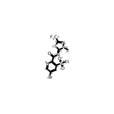 CCS(=O)(=O)c1cc(Br)cnc1C(=O)/N=c1\sc(C(F)(F)F)nn1C